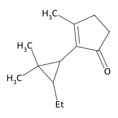 CCC1C(C2=C(C)CCC2=O)C1(C)C